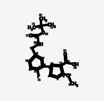 COc1ccc(-c2cc(CNC(=O)OC(C)(C)C)ccc2F)cc1C(=O)O